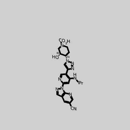 CC(C)Nc1cc(-n2ncc3cc(C#N)cnc32)ncc1-c1cn([C@H]2CCN(C(=O)O)C[C@H]2O)nn1